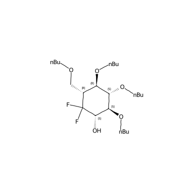 CCCCOC[C@@H]1[C@@H](OCCCC)[C@H](OCCCC)[C@@H](OCCCC)[C@H](O)C1(F)F